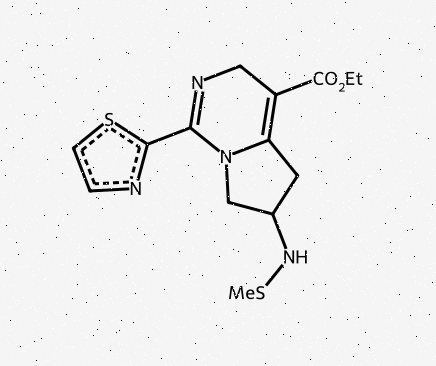 CCOC(=O)C1=C2CC(NSC)CN2C(c2nccs2)=NC1